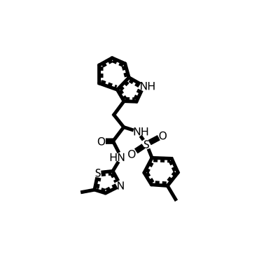 Cc1ccc(S(=O)(=O)NC(Cc2c[nH]c3ccccc23)C(=O)Nc2ncc(C)s2)cc1